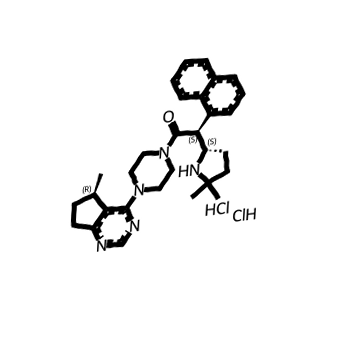 C[C@@H]1CCc2ncnc(N3CCN(C(=O)[C@@H](c4cccc5ccccc45)[C@@H]4CCC(C)(C)N4)CC3)c21.Cl.Cl